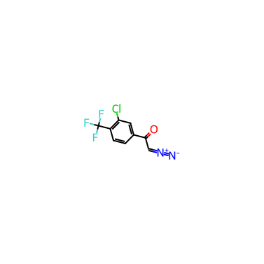 [N-]=[N+]=CC(=O)c1ccc(C(F)(F)F)c(Cl)c1